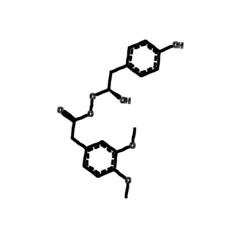 COc1ccc(CC(=O)OO[C@H](O)Cc2ccc(O)cc2)cc1OC